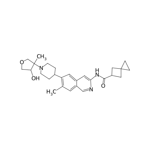 Cc1cc2cnc(NC(=O)C3CC4(CC4)C3)cc2cc1C1CCN(C2(C)COCC2O)CC1